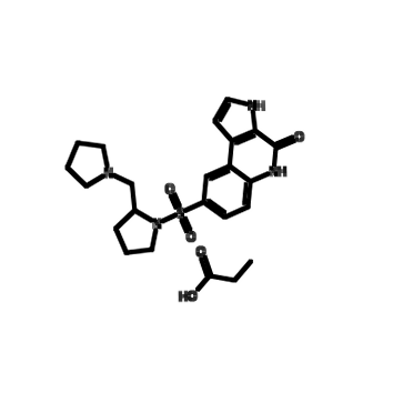 CCC(=O)O.O=c1[nH]c2ccc(S(=O)(=O)N3CCCC3CN3CCCC3)cc2c2cc[nH]c12